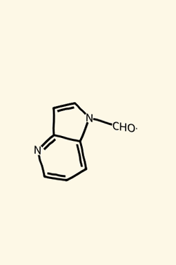 O=[C]n1ccc2ncccc21